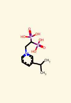 CC(C)c1ccc[n+](CC(P(=O)(O)O)P(=O)(O)O)c1